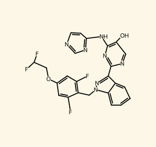 Oc1cnc(-c2nn(Cc3c(F)cc(OCC(F)F)cc3F)c3ccccc23)nc1Nc1ccncn1